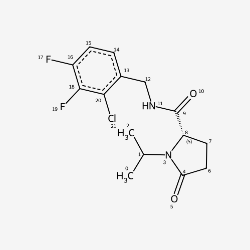 CC(C)N1C(=O)CC[C@H]1C(=O)NCc1ccc(F)c(F)c1Cl